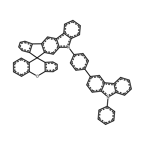 c1ccc(-n2c3ccccc3c3cc(-c4ccc(-n5c6ccccc6c6cc7c(cc65)C5(c6ccccc6Oc6ccccc65)c5ccccc5-7)cc4)ccc32)cc1